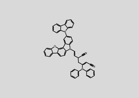 N#C/C=C(/CC(C#N)/C=C/n1c2ccc(-n3c4ccccc4c4ccccc43)cc2c2c3oc4ccccc4c3ccc21)N(c1ccccc1)c1ccccc1